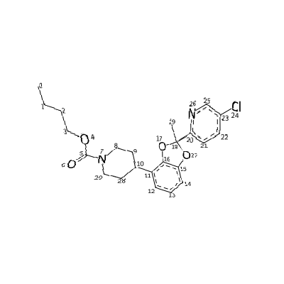 CCCCOC(=O)N1CCC(c2cccc3c2OC(C)(c2ccc(Cl)cn2)O3)CC1